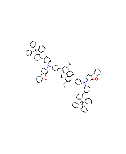 CC(C)c1cc(-c2ccc(N(C3=CC(c4cccc([Si](c5ccccc5)(c5ccccc5)c5ccccc5)c4)=CCC3)c3ccc4c(c3)oc3ccccc34)cc2)c2ccc3c(C(C)C)cc(-c4ccc(N(c5cccc(-c6cccc([Si](c7ccccc7)(c7ccccc7)c7ccccc7)c6)c5)c5ccc6c(c5)oc5ccccc56)cc4)c4ccc1c2c43